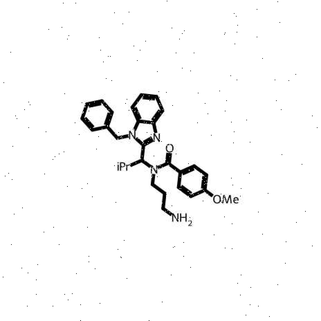 COc1ccc(C(=O)N(CCCN)C(c2nc3ccccc3n2Cc2ccccc2)C(C)C)cc1